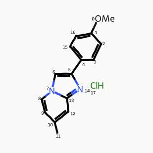 COc1ccc(-c2cn3ccc(C)cc3n2)cc1.Cl